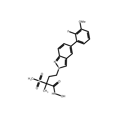 COc1cccc(-c2ccc3nn(CCC(C)(C(=O)NO)S(C)(=O)=O)cc3c2)c1F